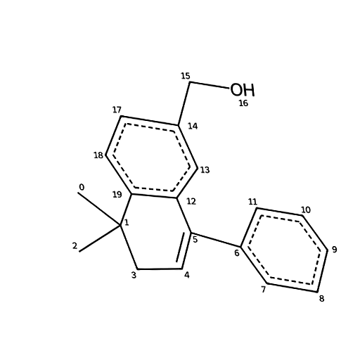 CC1(C)CC=C(c2ccccc2)c2cc(CO)ccc21